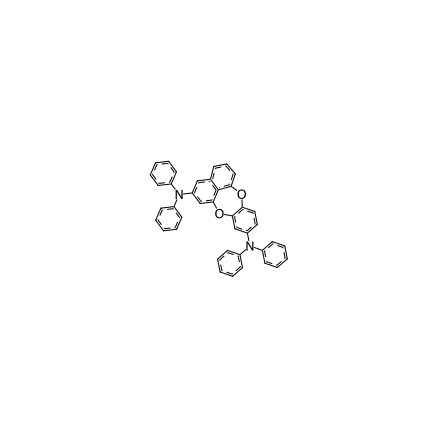 c1ccc(N(c2ccccc2)c2ccc3c(c2)Oc2cc(N(c4ccccc4)c4ccccc4)cc4cccc(c24)O3)cc1